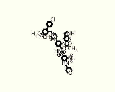 COC1(C)CCC(c2ccc(Cl)cc2)=C(CN2CCN(c3ccc(C(=O)NS(=O)(=O)c4ccc(NCC5CCOCC5)c([N+](=O)[O-])c4)c(N4C[C@@H](C)Oc5nc6[nH]ccc6cc54)c3)CC2)C1